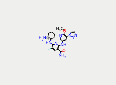 COc1ncc(Nc2nc(N[C@@H]3CCCC[C@@H]3N)c(F)cc2C(N)=O)cc1-n1ccnn1